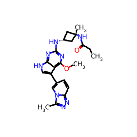 CCC(=O)N[C@]1(C)C[C@H](Nc2nc(OC)c3c(-c4ccc5nnc(C)n5c4)c[nH]c3n2)C1